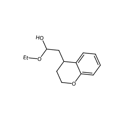 CCOC(O)CC1CCOc2ccccc21